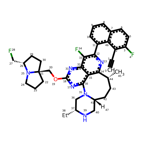 C#Cc1c(F)ccc2cccc(-c3nc4c5c(nc(OC[C@@]67CCCN6[C@H](CF)CC7)nc5c3F)N3C[C@@H](CC)NC[C@H]3CC[C@H]4C)c12